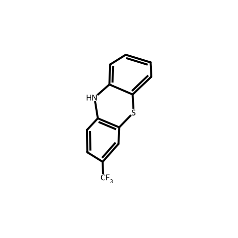 FC(F)(F)c1ccc2c(c1)Sc1ccccc1N2